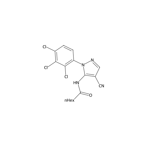 CCCCCCC(=O)Nc1c(C#N)cnn1-c1ccc(Cl)c(Cl)c1Cl